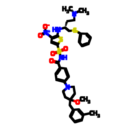 COC1(Cc2cccc(C)c2)CCN(c2ccc(C(=O)NS(=O)(=O)c3cc([N+](=O)[O-])c(N[C@H](CCN(C)C)CSc4ccccc4)s3)cc2)CC1